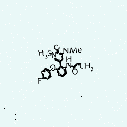 C=CC(=O)Nc1cccc(Oc2ccc(F)cc2)c1-c1cc(NC)c(=O)n(C)c1